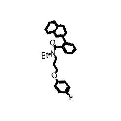 CCN(CCCOc1ccc(F)cc1)C(=O)c1ccccc1-c1ccc2ccccc2c1